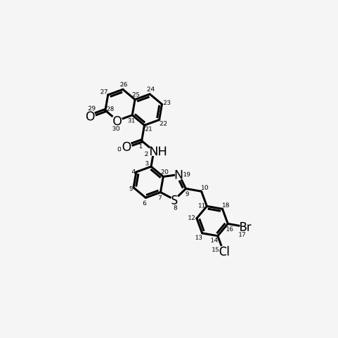 O=C(Nc1cccc2sc(Cc3ccc(Cl)c(Br)c3)nc12)c1cccc2ccc(=O)oc12